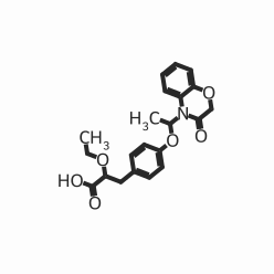 CCOC(Cc1ccc(OC(C)N2C(=O)COc3ccccc32)cc1)C(=O)O